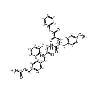 CCOc1ccc(C[C@@H](NC(=O)C(=O)Cc2ccccc2)C(=O)N[C@@H](Cc2ccccc2)C(=O)NCc2ccc(COC(N)=O)cc2)cc1